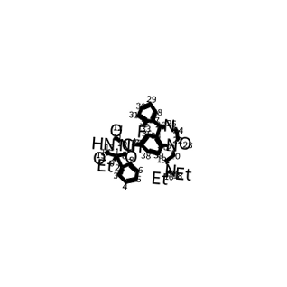 CCC1(c2ccccc2)C(=O)NC(=O)NC1=O.CCN(CC)CCN1C(=O)CN=C(c2ccccc2F)c2cc(Cl)ccc21